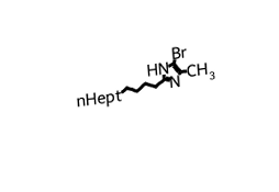 CCCCCCCCCCCc1nc(C)c(Br)[nH]1